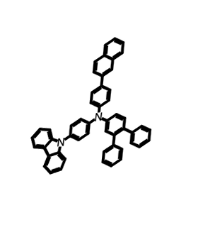 c1ccc(-c2ccc(N(c3ccc(-c4ccc5ccccc5c4)cc3)c3ccc(-n4c5ccccc5c5ccccc54)cc3)cc2-c2ccccc2)cc1